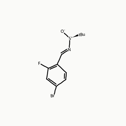 CC(C)(C)[S@+]([O-])N=Cc1ccc(Br)cc1F